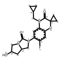 O=C1N(c2cc3c(cc2F)OC2(CC2)C(=O)N3CC2CC2)CC2CC(O)CN12